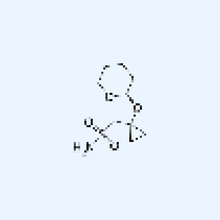 NS(=O)(=O)CC1(O[C@@H]2CCCCO2)CC1